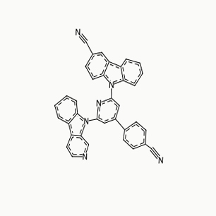 N#Cc1ccc(-c2cc(-n3c4ccccc4c4cc(C#N)ccc43)nc(-n3c4ccccc4c4ccncc43)c2)cc1